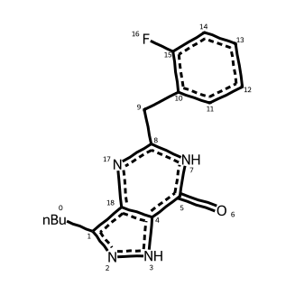 CCCCc1n[nH]c2c(=O)[nH]c(Cc3ccccc3F)nc12